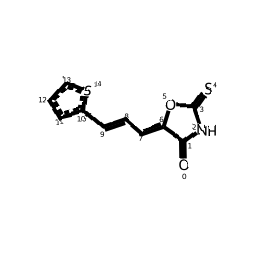 O=C1NC(=S)OC1=CC=Cc1cccs1